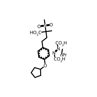 CC(CCc1ccc(OC2CCCC2)cc1)(C(=O)O)S(C)(=O)=O.CCCC.O=C(O)/N=N/C(=O)O